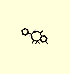 CC1/C=C\C(c2ccccc2)=C/C(C)C(C)(C)c2cc(I)ccc21